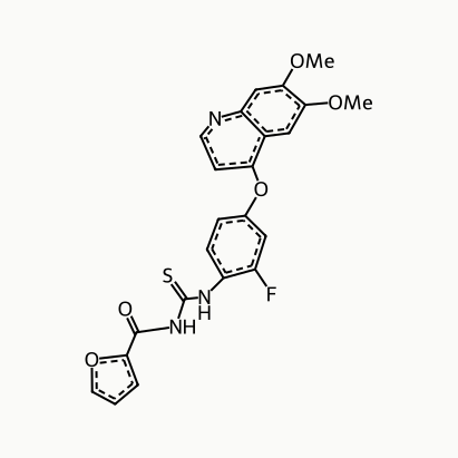 COc1cc2nccc(Oc3ccc(NC(=S)NC(=O)c4ccco4)c(F)c3)c2cc1OC